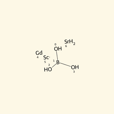 OB(O)O.[Gd].[Sc].[SrH2]